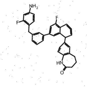 Nc1ccc(Cc2cccc(-c3cc(F)c4c(c3)C(c3ccc5c(c3)CCCC(=O)N5)C=C=C4)c2)c(F)c1